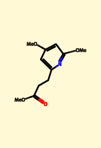 COC(=O)CCc1cc(OC)cc(OC)n1